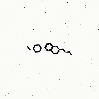 CCCCC1CCc2cc([C@H]3CC[C@H](CC)CC3)ccc2C1